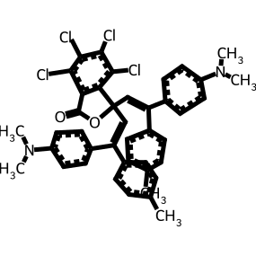 Cc1ccc(C(=CC2(C=C(c3ccc(C)cc3)c3ccc(N(C)C)cc3)OC(=O)c3c(Cl)c(Cl)c(Cl)c(Cl)c32)c2ccc(N(C)C)cc2)cc1